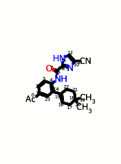 CC(=O)c1ccc(NC(=O)c2nc(C#N)c[nH]2)c(C2=CCC(C)(C)CC2)c1